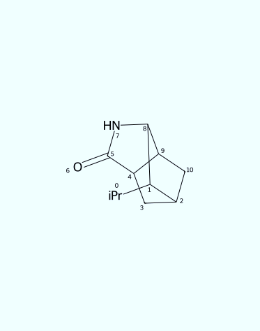 CC(C)C1C2CC3C(=O)NC1C3C2